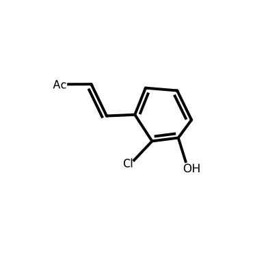 CC(=O)C=Cc1cccc(O)c1Cl